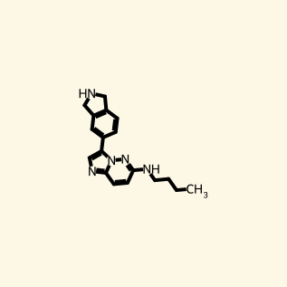 CCCCNc1ccc2ncc(-c3ccc4c(c3)CNC4)n2n1